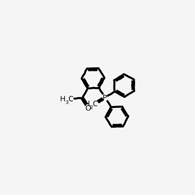 C=P(c1ccccc1)(c1ccccc1)c1ccccc1C(C)=O